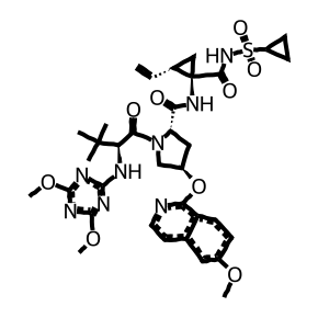 C=C[C@@H]1C[C@]1(NC(=O)[C@@H]1C[C@@H](Oc2nccc3cc(OC)ccc23)CN1C(=O)[C@@H](Nc1nc(OC)nc(OC)n1)C(C)(C)C)C(=O)NS(=O)(=O)C1CC1